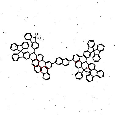 CC1(C)c2ccccc2-c2cc(N(c3ccc4c5cc(-c6ccc7cc(-c8ccc(-c9cc%10c(cc9N(c9ccc%11c%12ccccc%12c%12ccccc%12c%11c9)c9cccc%11c9C(C)(C)c9ccccc9-%11)C9(c%11ccccc%11-c%11ccccc%119)c9ccccc9-%10)cc8)ccc7c6)ccc5c5ccccc5c4c3)c3cc4c(cc3-c3ccc(-c5ccc6ccccc6c5)cc3)-c3ccccc3C43c4ccccc4-c4ccccc43)ccc21